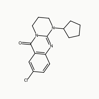 O=c1c2cc(Cl)ccc2nc2n1CCCN2C1CCCC1